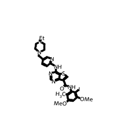 CCN1CCN(Cc2ccc(Nc3ncnc4c(C(=O)Nc5c(C)c(OC)cc(OC)c5I)csc34)nc2)CC1